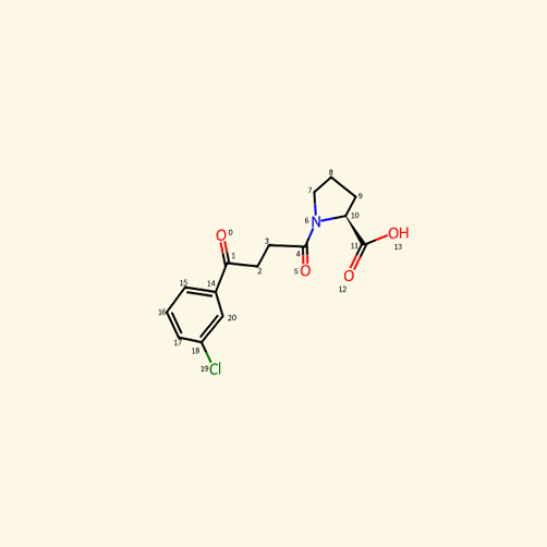 O=C(CCC(=O)N1CCC[C@H]1C(=O)O)c1cccc(Cl)c1